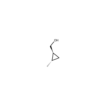 C[C@H]1C[C@@H]1CO